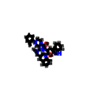 Cc1ccccc1N1CCN(C(=O)N[C@H](Cc2c[nH]c3ccccc23)C(=O)N2C[C@H](CN(C)C)Cc3ccccc32)CC1